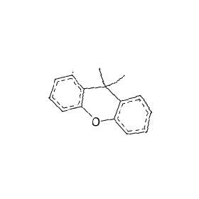 CC1(C)c2[c]cccc2Oc2ccccc21